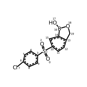 O=S(=O)(c1ccc(Cl)cc1)c1ccc2c(c1)B(O)OC2